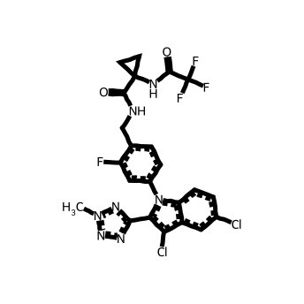 Cn1nnc(-c2c(Cl)c3cc(Cl)ccc3n2-c2ccc(CNC(=O)C3(NC(=O)C(F)(F)F)CC3)c(F)c2)n1